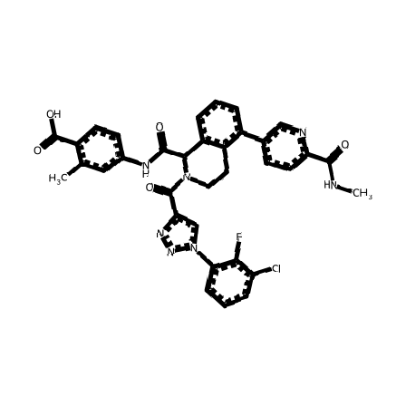 CNC(=O)c1ccc(-c2cccc3c2CCN(C(=O)c2cn(-c4cccc(Cl)c4F)nn2)C3C(=O)Nc2ccc(C(=O)O)c(C)c2)cn1